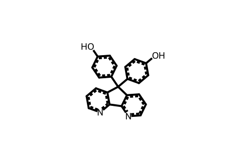 Oc1ccc(C2(c3ccc(O)cc3)c3cccnc3-c3ncccc32)cc1